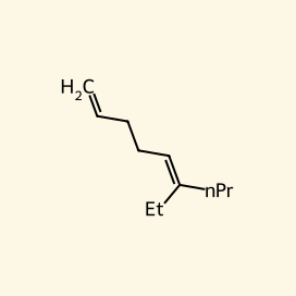 C=CCC/C=C(\CC)CCC